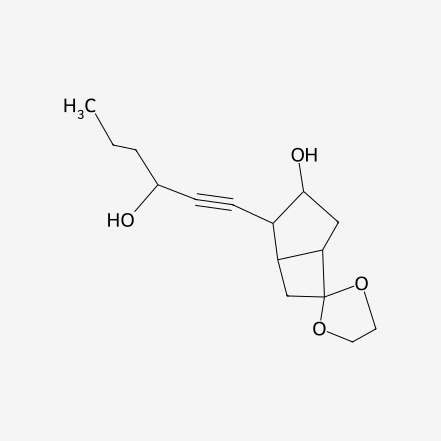 CCCC(O)C#CC1C(O)CC2C1CC21OCCO1